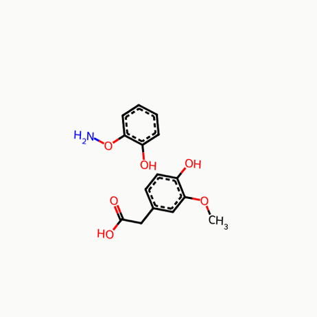 COc1cc(CC(=O)O)ccc1O.NOc1ccccc1O